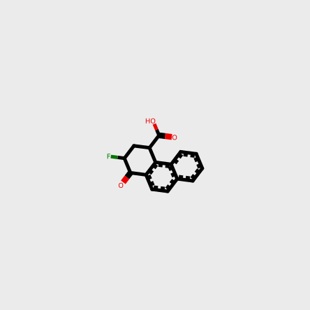 O=C1c2ccc3ccccc3c2C(C(=O)O)CC1F